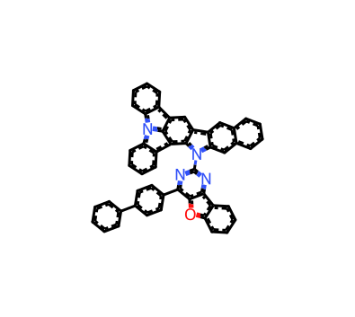 c1ccc(-c2ccc(-c3nc(-n4c5cc6ccccc6cc5c5cc6c7ccccc7n7c8ccccc8c(c54)c67)nc4c3oc3ccccc34)cc2)cc1